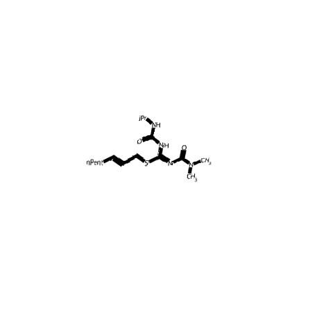 CCCCCC=CCSC(=NC(=O)N(C)C)NC(=O)NC(C)C